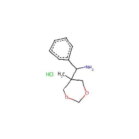 CC1(C(N)c2ccccc2)COCOC1.Cl